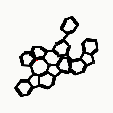 c1ccc(-c2nc(-c3ccccc3-n3c4ccccc4c4ccc5c6ccccc6n(-c6ccccc6)c5c43)nc(-c3cccc4oc5ccccc5c34)n2)cc1